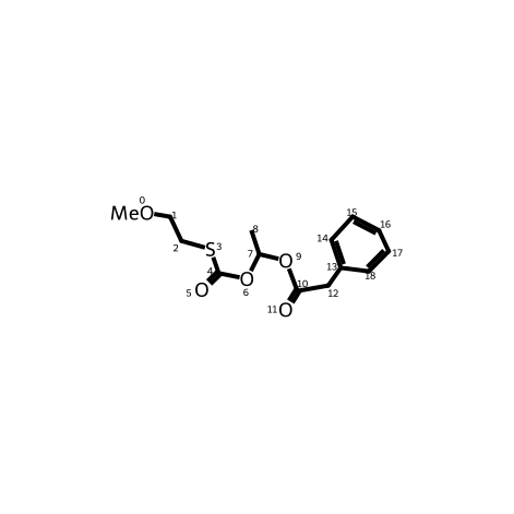 COCCSC(=O)OC(C)OC(=O)Cc1ccccc1